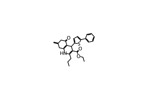 C=C1CC(=O)C2=C(C1)NC(CCC)=C(C(=O)OCC)C2c1ccc(-c2ccccc2)s1